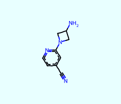 N#Cc1ccnc(N2CC(N)C2)c1